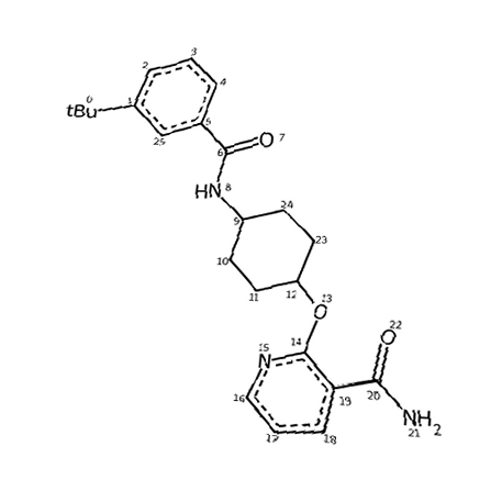 CC(C)(C)c1cccc(C(=O)NC2CCC(Oc3ncccc3C(N)=O)CC2)c1